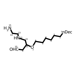 CCCCCCCCCCCCCCCCOC(CC=O)CNCCN